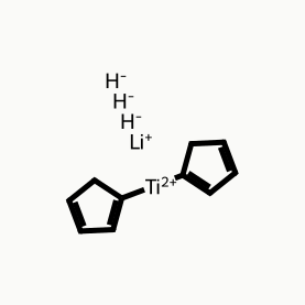 C1=CC[C]([Ti+2][C]2=CC=CC2)=C1.[H-].[H-].[H-].[Li+]